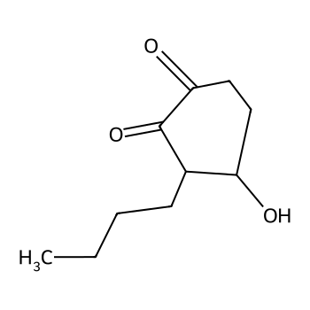 CCCCC1C(=O)C(=O)CCC1O